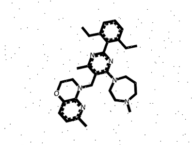 CCc1cccc(CC)c1-c1nc(C)c(CN2CCOc3ccc(C)nc32)c(N2CCCN(C)CC2)n1